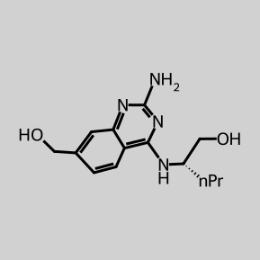 CCC[C@@H](CO)Nc1nc(N)nc2cc(CO)ccc12